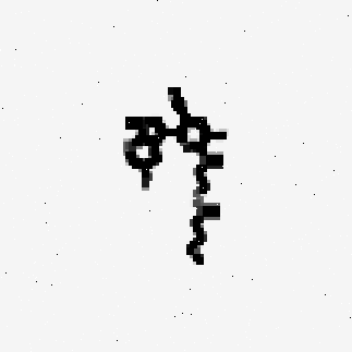 COCCNSCCNc1nc(-c2c[nH]c3ncc(F)cc23)c(C#N)cc1F